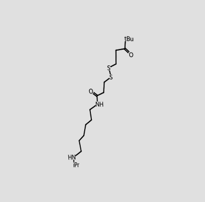 CC(C)NCCCCCCNC(=O)CCSSCCC(=O)C(C)(C)C